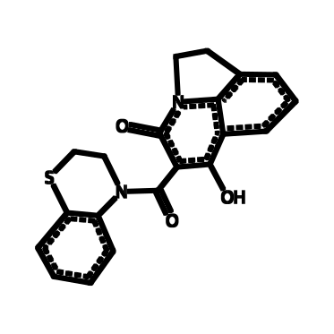 O=C(c1c(O)c2cccc3c2n(c1=O)CC3)N1CCSc2ccccc21